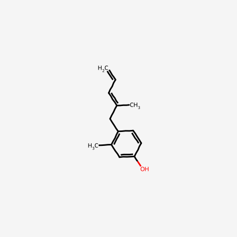 C=C/C=C(\C)Cc1ccc(O)cc1C